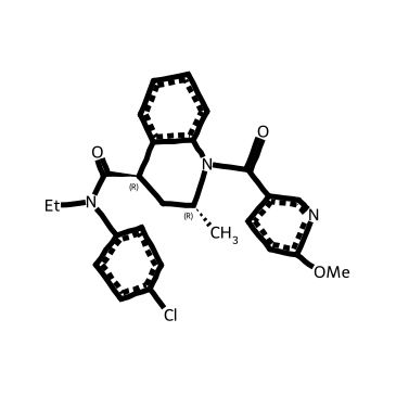 CCN(C(=O)[C@@H]1C[C@@H](C)N(C(=O)c2ccc(OC)nc2)c2ccccc21)c1ccc(Cl)cc1